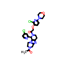 CC(=O)N1CCn2c(nc3c2C(c2cc(Cl)ccn2)N(C(=O)COc2ccc(N4CCOCC4)nc2Cl)CC3)C1